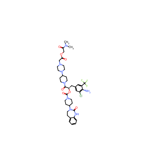 CN(C)C(=O)COC(=O)CN1CCN(C2CCN(C(=O)[C@@H](Cc3cc(Cl)c(N)c(C(F)(F)F)c3)OC(=O)N3CCC(N4CCc5ccccc5NC4=O)CC3)CC2)CC1